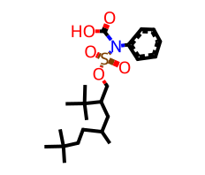 CC(CCC(C)(C)C)CC(COS(=O)(=O)N(C(=O)O)c1ccccc1)C(C)(C)C